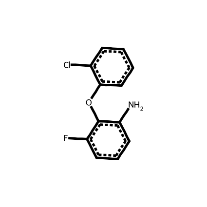 Nc1cccc(F)c1Oc1ccccc1Cl